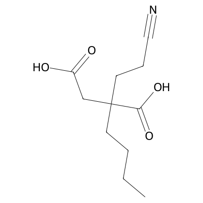 CCCCC(CCC#N)(CC(=O)O)C(=O)O